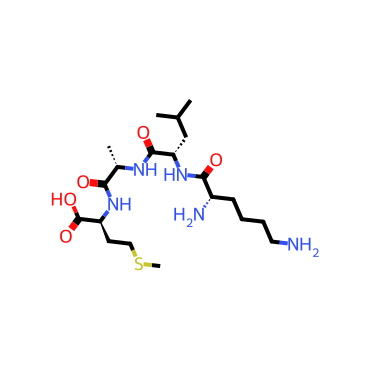 CSCC[C@H](NC(=O)[C@H](C)NC(=O)[C@H](CC(C)C)NC(=O)[C@@H](N)CCCCN)C(=O)O